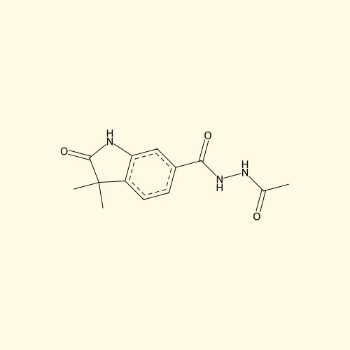 CC(=O)NNC(=O)c1ccc2c(c1)NC(=O)C2(C)C